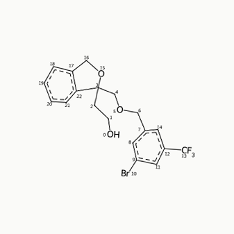 OCCC1(COCc2cc(Br)cc(C(F)(F)F)c2)OCc2ccccc21